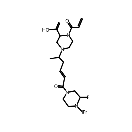 C=CC(=O)N1CCN(C(C)C/C=C/C(=O)N2CCN(C(C)C)C(F)C2)CC1C(=C)O